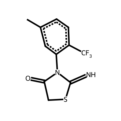 Cc1ccc(C(F)(F)F)c(N2C(=N)SCC2=O)c1